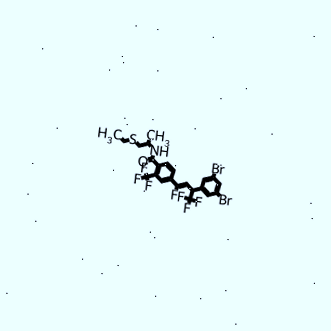 CCSCC(C)NC(=O)c1ccc(/C(F)=C/C(c2cc(Br)cc(Br)c2)C(F)(F)F)cc1C(F)(F)F